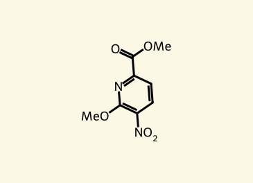 COC(=O)c1ccc([N+](=O)[O-])c(OC)n1